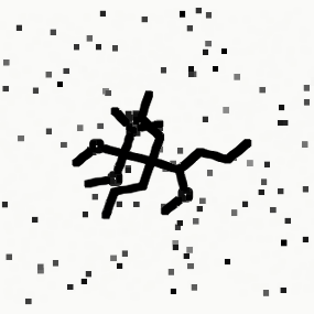 CCCC(OC)C(CCC)(CCC)C(OC)(OC)[SiH](C)C